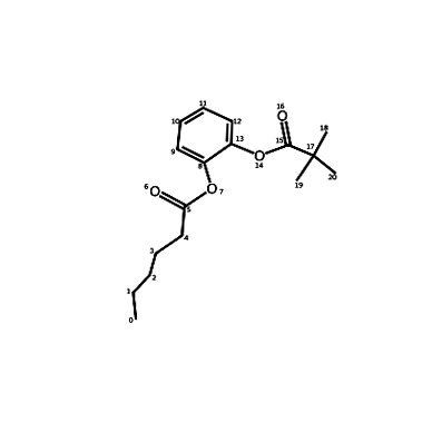 CCCCCC(=O)Oc1ccccc1OC(=O)C(C)(C)C